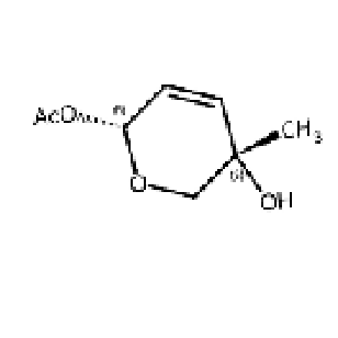 CC(=O)O[C@@H]1C=C[C@](C)(O)CO1